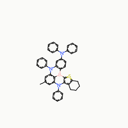 Cc1cc2c3c(c1)N(c1ccccc1)c1c(sc4c1CCCC4)B3c1ccc(N(c3ccccc3)c3ccccc3)cc1N2c1ccccc1